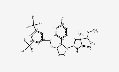 CCN(C)[C@]1(C)C[C@H]([C@@H]2CC[C@H](OCc3cc(C(F)(F)F)cc(C(F)(F)F)c3)[C@H]2c2ccc(F)cc2)NC1=O